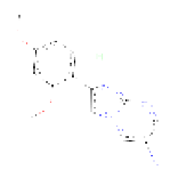 COc1ccc(-c2cn3cc(N)cnc3n2)c(OC)c1.Cl